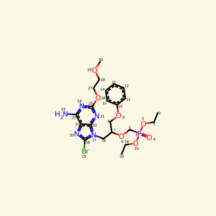 CCOP(=O)(COC(COc1ccccc1)Cn1c(Br)nc2c(N)nc(OCCOC)nc21)OCC